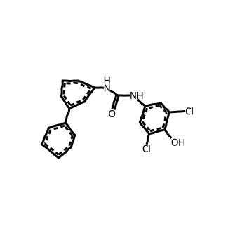 O=C(Nc1cccc(-c2ccccc2)c1)Nc1cc(Cl)c(O)c(Cl)c1